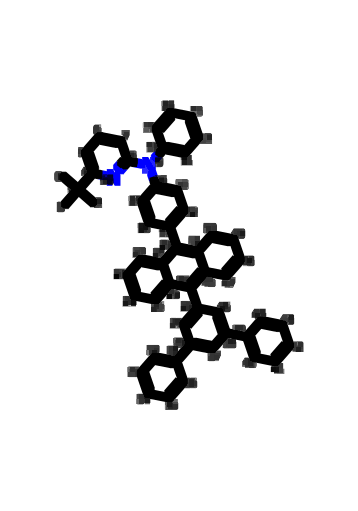 CC(C)(C)c1cccc(N(c2ccccc2)c2ccc(-c3c4ccccc4c(-c4cc(-c5ccccc5)cc(-c5ccccc5)c4)c4ccccc34)cc2)n1